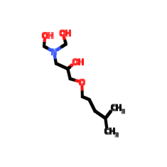 CC(C)CCCOCC(O)CN(CO)CO